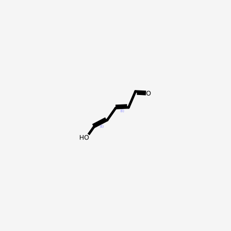 O=C/C=C/C=C/O